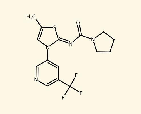 Cc1cn(-c2cncc(C(F)(F)F)c2)c(=NC(=O)N2CCCC2)s1